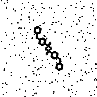 S=P1(c2ccc(Sc3ccccc3)cc2)SP(=S)(c2ccc(Sc3ccccc3)cc2)S1